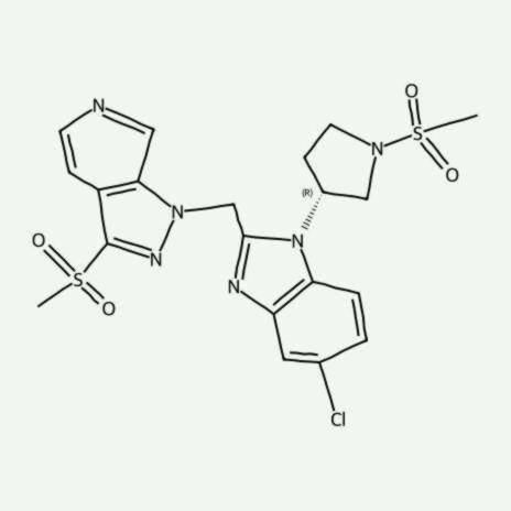 CS(=O)(=O)c1nn(Cc2nc3cc(Cl)ccc3n2[C@@H]2CCN(S(C)(=O)=O)C2)c2cnccc12